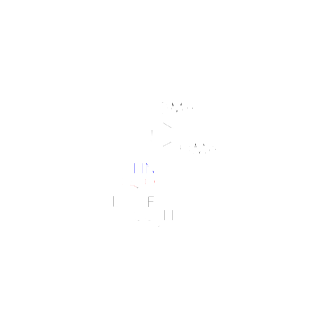 CCC(CC)(C(=O)O)C(=O)ONCc1ccc(OC)cc1OC